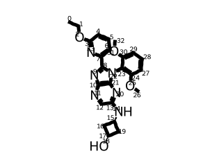 CCOc1cccc(-c2nc3ncc(N[C@H]4C[C@@H](O)C4)nc3n2-c2c(OC)cccc2OC)n1